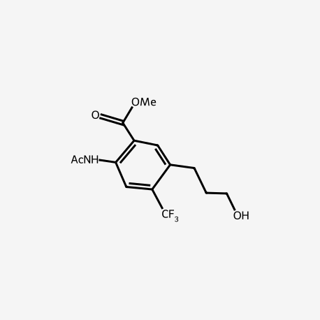 COC(=O)c1cc(CCCO)c(C(F)(F)F)cc1NC(C)=O